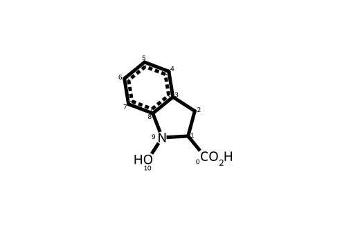 O=C(O)C1Cc2ccccc2N1O